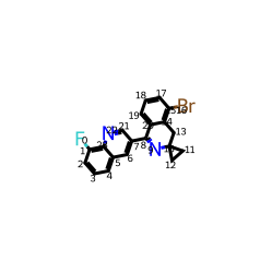 Fc1cccc2cc(C3=NC4(CC4)Cc4c(Br)cccc43)cnc12